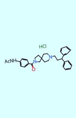 CC(=O)Nc1ccc(C(=O)N2CCC3(CCN(CCC(c4ccccc4)c4ccccc4)CC3)C2)cc1.Cl